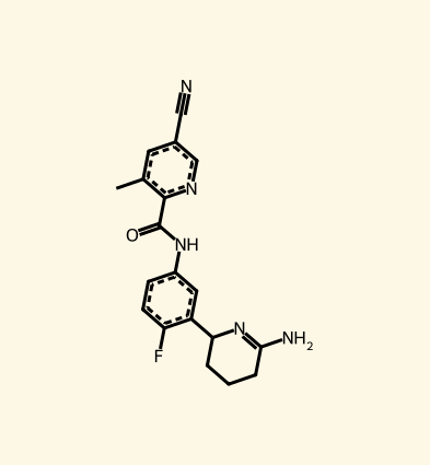 Cc1cc(C#N)cnc1C(=O)Nc1ccc(F)c(C2CCCC(N)=N2)c1